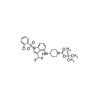 CC(C)(C)OC(=O)N1CCC(Nc2cccc3c2c(C(F)F)cn3S(=O)(=O)c2ccccc2Cl)CC1